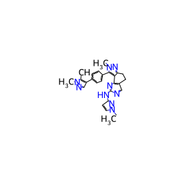 CCn1ccc(Nc2ncc3c(n2)-c2c(nn(C)c2-c2ccc(-c4cnn(C)c4C)cc2)CC3)n1